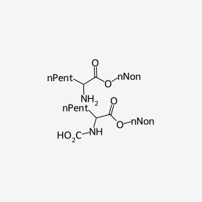 CCCCCCCCCOC(=O)C(CCCCC)NC(=O)O.CCCCCCCCCOC(=O)C(N)CCCCC